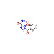 NC(=O)c1ncn(C(=O)c2ccccc2O)n1